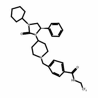 O=C(NCC(F)(F)F)c1ccc(CN2CCC(N3C(=O)N(C4CCCCC4)C[C@H]3c3ccccc3)CC2)cc1